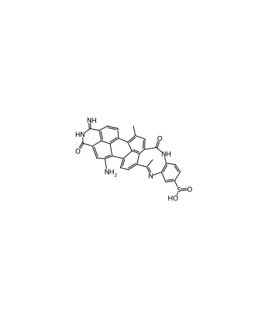 C/C1=N\c2cc(S(=O)O)ccc2NC(=O)c2cc(C)c3c4ccc5c6c(cc(N)c(c7ccc1c2c73)c64)C(=O)NC5=N